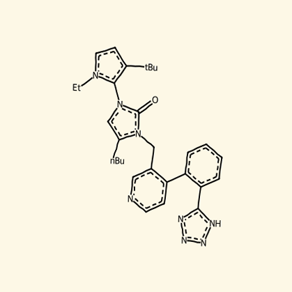 CCCCc1cn(-c2c(C(C)(C)C)ccn2CC)c(=O)n1Cc1cnccc1-c1ccccc1-c1nnn[nH]1